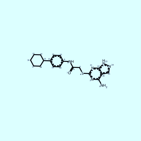 Nc1nc(SCC(=O)Nc2ccc(C3CCCCC3)cc2)nc2[nH]ncc12